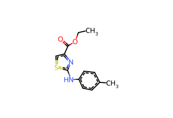 CCOC(=O)c1csc(Nc2ccc(C)cc2)n1